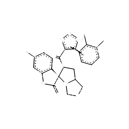 Cc1ccc([C@@H]2C3CSCN3[C@]3(C(=O)Nc4cc(Cl)ccc43)[C@H]2C(=O)c2nn[nH]c2C)c(C)c1C